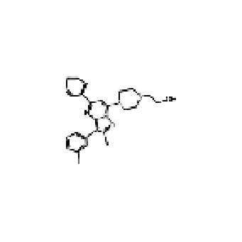 Cc1nn2c(N3CCN(CCO)CC3)cc(-c3ccccc3)nc2c1-c1cccc(I)c1